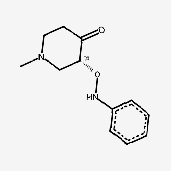 CN1CCC(=O)[C@H](ONc2ccccc2)C1